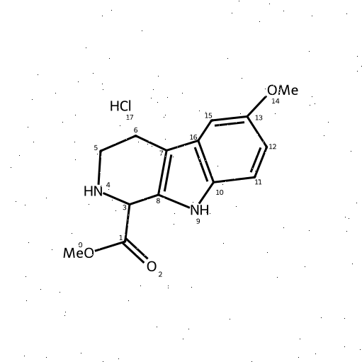 COC(=O)C1NCCc2c1[nH]c1ccc(OC)cc21.Cl